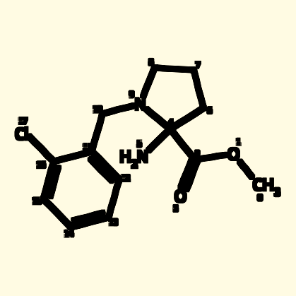 COC(=O)C1(N)CCCN1Cc1ccccc1Cl